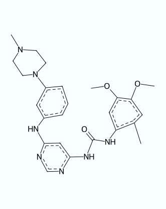 COc1cc(C)c(NC(=O)Nc2cc(Nc3cccc(N4CCN(C)CC4)c3)ncn2)cc1OC